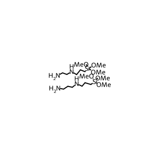 CO[Si](CCCNCCCN)(OC)OC.CO[Si](CCCNCCN)(OC)OC